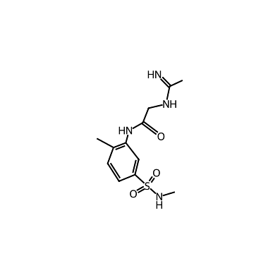 CNS(=O)(=O)c1ccc(C)c(NC(=O)CNC(C)=N)c1